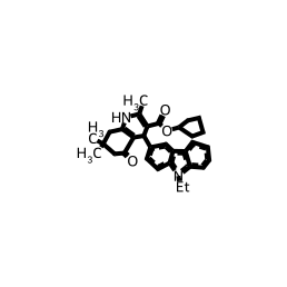 CCn1c2ccccc2c2cc(C3C(C(=O)OC4CCCC4)=C(C)NC4=C3C(=O)CC(C)(C)C4)ccc21